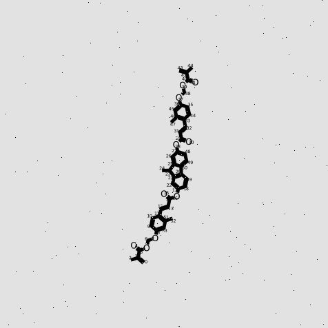 C=C(C)C(=O)OCOc1ccc(C=CC(=O)Oc2ccc3c(c2)C(C)c2cc(OC(=O)C=Cc4ccc(OCOC(=O)C(=C)C)cc4C)ccc2-3)c(C)c1